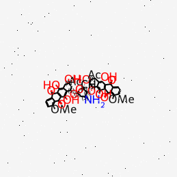 COc1cccc2c1C(=O)c1c(O)c3c(c(O)c1C2=O)C[C@](O)(C(C)=O)C[C@@H]3O[C@@H]1C[C@H](N)[C@@H](O[C@H]2C[C@@](O)(C(C)=O)Cc3c(O)c4c(c(O)c32)C(=O)c2c(OC)cccc2C4=O)[C@@H](C)O1